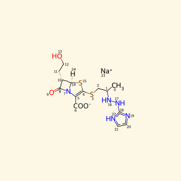 CC(CSC1=C(C(=O)[O-])N2C(=O)[C@H](CCO)[C@H]2S1)NNc1ncc[nH]1.[Na+]